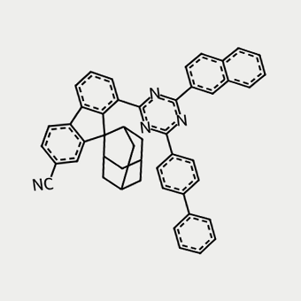 N#Cc1ccc2c(c1)C1(c3c(-c4nc(-c5ccc(-c6ccccc6)cc5)nc(-c5ccc6ccccc6c5)n4)cccc3-2)C2CC3CC(C2)CC1C3